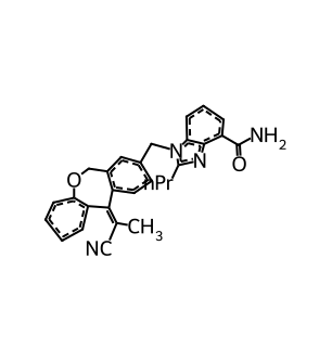 CCCc1nc2c(C(N)=O)cccc2n1Cc1ccc2c(c1)COc1ccccc1C2=C(C)C#N